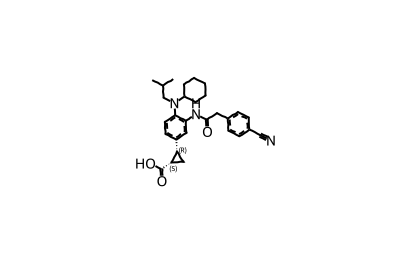 CC(C)CN(c1ccc([C@@H]2C[C@@H]2C(=O)O)cc1NC(=O)Cc1ccc(C#N)cc1)C1CCCCC1